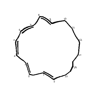 [C]1=C/C=C/C=C\C=C\C=C\CCCCCC/1